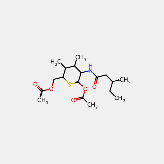 CC[C@H](C)CC(=O)NC1C(OC(C)=O)SC(COC(C)=O)C(C)C1C